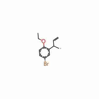 [CH2]C(C=C)c1cc(Br)ccc1OCC